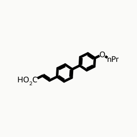 CCCOc1ccc(-c2ccc(C=CC(=O)O)cc2)cc1